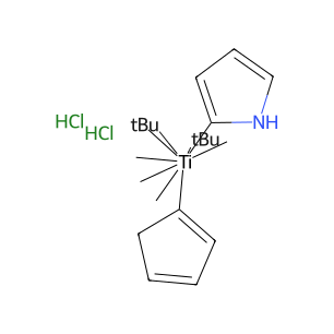 C[C](C)(C)[Ti]([CH3])([CH3])([CH3])([CH3])([CH3])([C]1=CC=CC1)([c]1ccc[nH]1)[C](C)(C)C.Cl.Cl